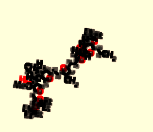 C=CCC(O)C[C@@H]1[C@@H](OC)[C@@H](CC(CO[Si](CC)(CC)CC)O[Si](CC)(CC)CC)O[C@H]1C[C@H]1O[C@@H](CC[C@@H]2O[C@@H](CCC34C[C@H]5O[C@H]6[C@@H](O3)[C@@H](O[Si](CC)(CC)CC)[C@H](CC=C)O[C@H]6[C@H]5O4)CC2=C)C[C@@H](C)C1=C